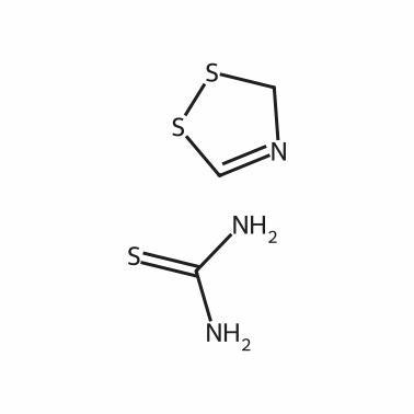 C1=NCSS1.NC(N)=S